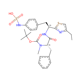 CCc1csc([C@H](Cc2ccc(NS(=O)(=O)O)cc2)NC(=O)[C@H](Cc2ccccc2)N(C)C(=O)OC(C)(C)C)n1